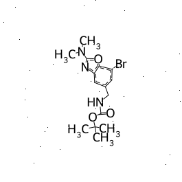 CN(C)c1nc2cc(CNC(=O)OC(C)(C)C)cc(Br)c2o1